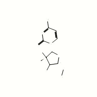 C=C1N=C(N)C=CN1[C@@H]1O[C@H](CO)C(O)[C@]1(C)F